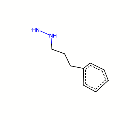 [NH]NCCCc1ccccc1